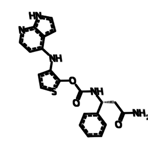 NC(=O)C[C@@H](NC(=O)Oc1sccc1Nc1ccnc2[nH]ccc12)c1ccccc1